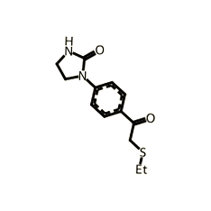 CCSCC(=O)c1ccc(N2CCNC2=O)cc1